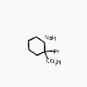 CC(C)C1(C(=O)O)CCCCC1.[NaH]